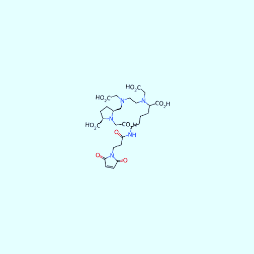 O=C(O)CN(CCN(CC(=O)O)C(CCCCNC(=O)CCN1C(=O)C=CC1=O)C(=O)O)C[C@@H]1CC[C@H](C(=O)O)N1CC(=O)O